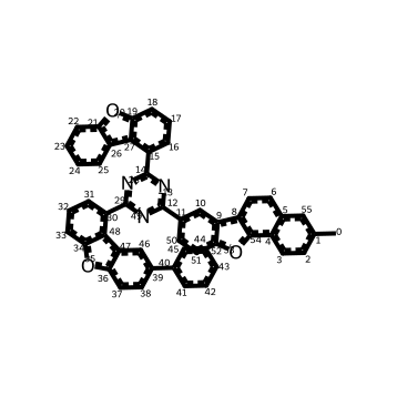 Cc1ccc2c(ccc3c4cc(-c5nc(-c6cccc7oc8ccccc8c67)nc(-c6cccc7oc8ccc(-c9ccccc9)cc8c67)n5)ccc4oc23)c1